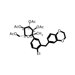 CCc1ccc([C@]2(C)O[C@H](COC(C)=O)[C@@H](OC(C)=O)[C@H](OC(C)=O)[C@H]2OC(C)=O)cc1Cc1ccc2c(c1)OCCO2